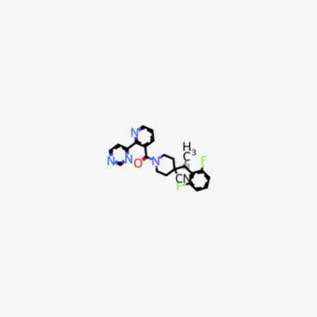 C[C@H](c1c(F)cccc1F)C1(C#N)CCN(C(=O)c2cccnc2-c2ccncn2)CC1